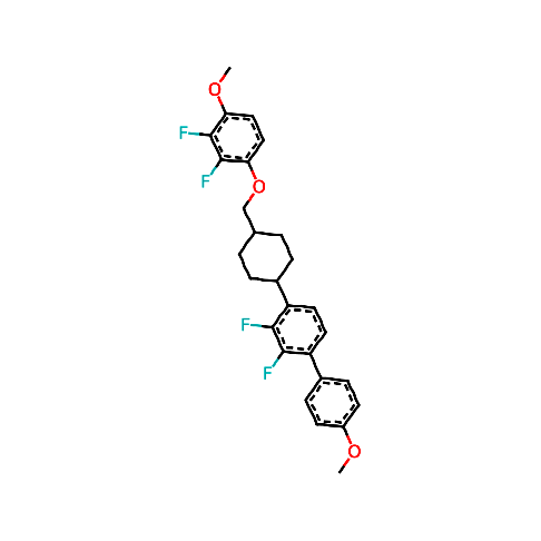 COc1ccc(-c2ccc(C3CCC(COc4ccc(OC)c(F)c4F)CC3)c(F)c2F)cc1